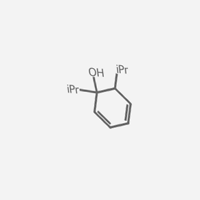 CC(C)C1C=CC=CC1(O)C(C)C